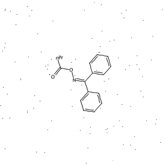 CCCC(=O)ON=C(c1ccccc1)c1ccccc1